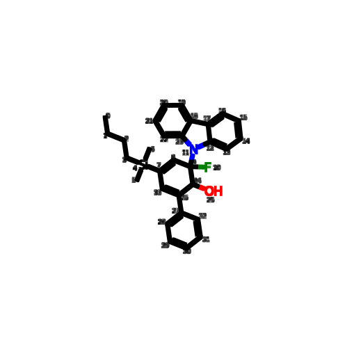 CCCC[Si](C)(C)C1=CC(F)(n2c3ccccc3c3ccccc32)C(O)C(c2ccccc2)=C1